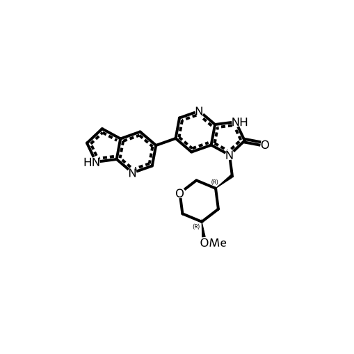 CO[C@H]1COC[C@@H](Cn2c(=O)[nH]c3ncc(-c4cnc5[nH]ccc5c4)cc32)C1